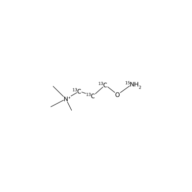 C[N+](C)(C)[13CH2][13CH2][13CH2]O[15NH2]